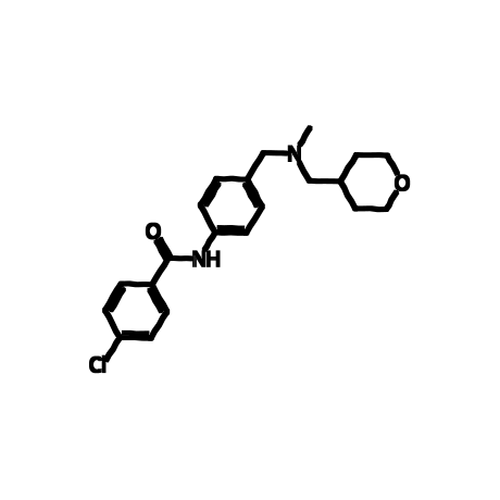 CN(Cc1ccc(NC(=O)c2ccc(Cl)cc2)cc1)CC1CCOCC1